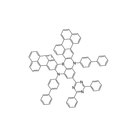 c1ccc(-c2ccc(N3c4cc(-c5nc(-c6ccccc6)nc(-c6ccccc6)n5)cc5c4B(c4c3cc3c6cccc7cccc(c8cccc4c83)c76)c3c(cc4c6cccc7cccc(c8cccc3c84)c76)N5c3ccc(-c4ccccc4)cc3)cc2)cc1